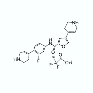 O=C(Nc1ccc(C2=CCNCC2)c(F)c1)c1cc(C2=CCNCC2)co1.O=C(O)C(F)(F)F